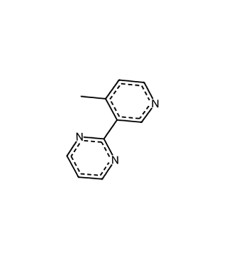 Cc1ccncc1-c1ncccn1